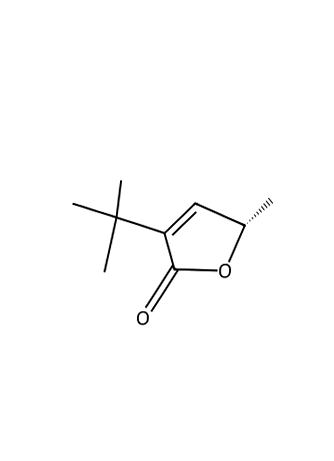 C[C@H]1C=C(C(C)(C)C)C(=O)O1